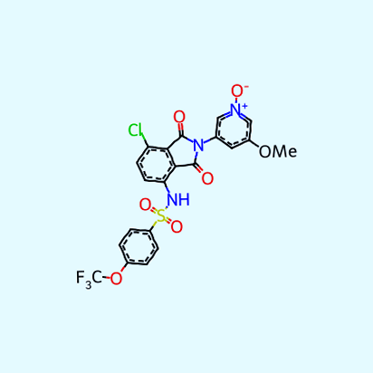 COc1cc(N2C(=O)c3c(Cl)ccc(NS(=O)(=O)c4ccc(OC(F)(F)F)cc4)c3C2=O)c[n+]([O-])c1